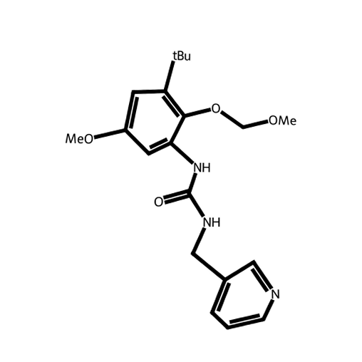 COCOc1c(NC(=O)NCc2cccnc2)cc(OC)cc1C(C)(C)C